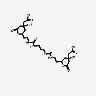 O=C(O)CC1(O)CC(=O)OC(CCNC(=S)NCCCNC(=S)NCCC2CC(O)(CC(=O)O)CC(=O)O2)C1